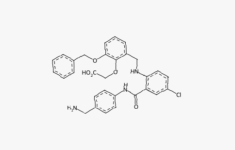 NCc1ccc(NC(=O)c2cc(Cl)ccc2NCc2cccc(OCc3ccccc3)c2OCC(=O)O)cc1